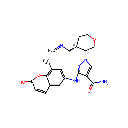 C=NC[C@H]1CCOC[C@@H]1n1cc(C(N)=O)c(Nc2cc3c(c(C(F)(F)F)c2)OB(O)C=C3)n1